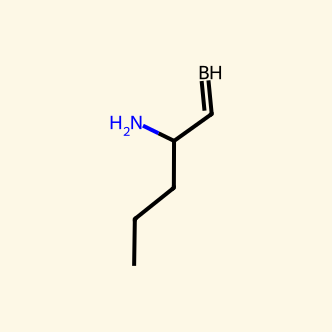 B=CC(N)CCC